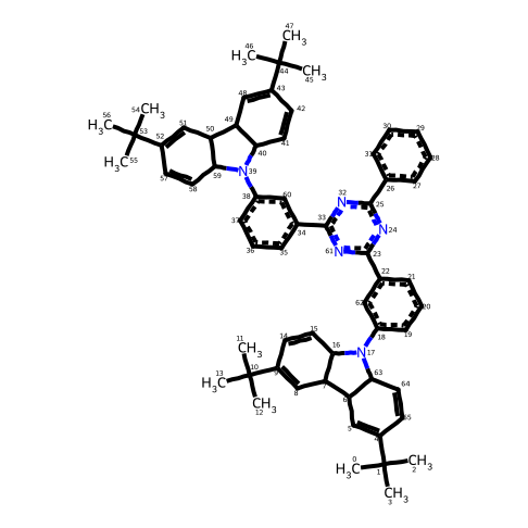 CC(C)(C)C1=CC2C3C=C(C(C)(C)C)C=CC3N(c3cccc(-c4nc(-c5ccccc5)nc(-c5cccc(N6C7C=CC(C(C)(C)C)=CC7C7C=C(C(C)(C)C)C=CC76)c5)n4)c3)C2C=C1